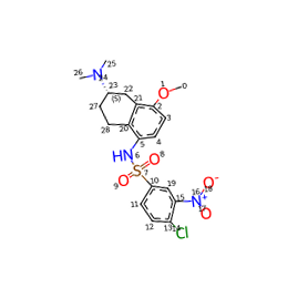 COc1ccc(NS(=O)(=O)c2ccc(Cl)c([N+](=O)[O-])c2)c2c1C[C@@H](N(C)C)CC2